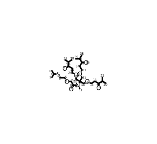 CC(C)SCCOCC(=O)N(C)C(COCCC(=O)C(C)C)(COCCC(=O)C(C)C)COCCC(=O)C(C)C